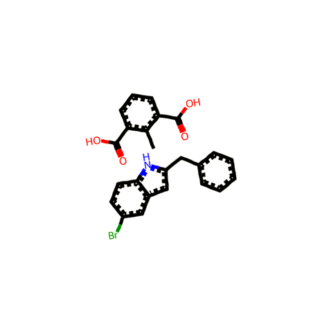 Brc1ccc2[nH]c(Cc3ccccc3)cc2c1.Cc1c(C(=O)O)cccc1C(=O)O